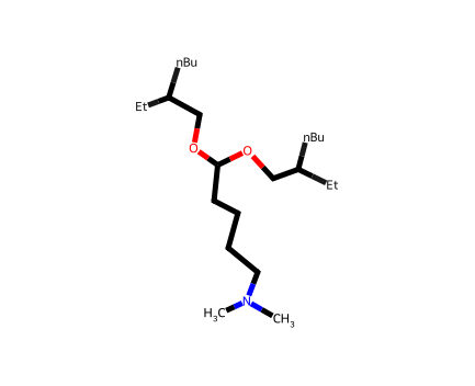 CCCCC(CC)COC(CCCCN(C)C)OCC(CC)CCCC